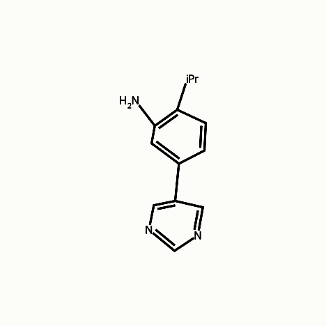 CC(C)c1ccc(-c2cncnc2)cc1N